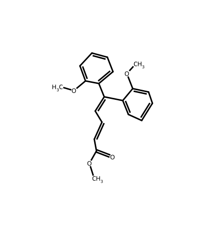 COC(=O)C=CC=C(c1ccccc1OC)c1ccccc1OC